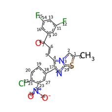 Cc1cn2c(C=CC(=O)c3cc(F)cc(F)c3)c(-c3ccc(Cl)c([N+](=O)[O-])c3)nc2s1